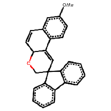 COc1ccc2c(c1)C=CC1OCC3(C=C21)c1ccccc1-c1ccccc13